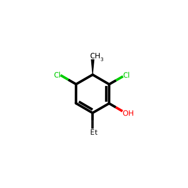 CCC1=CC(Cl)[C@@H](C)C(Cl)=C1O